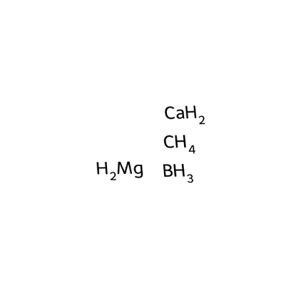 B.C.[CaH2].[MgH2]